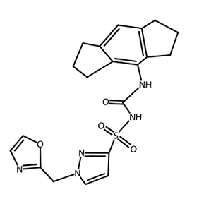 O=C(Nc1c2c(cc3c1CCC3)CCC2)NS(=O)(=O)c1ccn(Cc2ncco2)n1